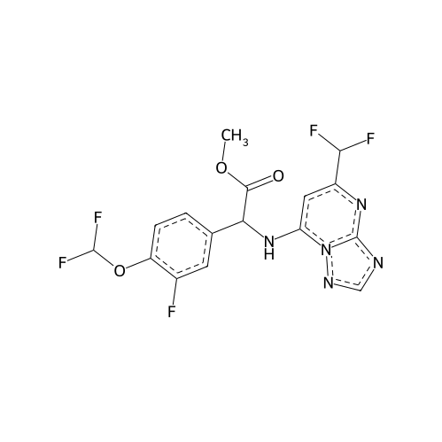 COC(=O)C(Nc1cc(C(F)F)nc2ncnn12)c1ccc(OC(F)F)c(F)c1